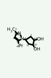 Cc1cc(C(C)C)n(C2CC(O)C(O)C2)n1